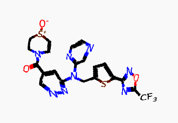 O=C(c1cnnc(N(Cc2ccc(-c3noc(C(F)(F)F)n3)s2)c2cnccn2)c1)N1CC[S+]([O-])CC1